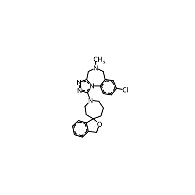 CN1Cc2cc(Cl)ccc2-n2c(nnc2N2CCCC3(CC2)OCc2ccccc23)C1